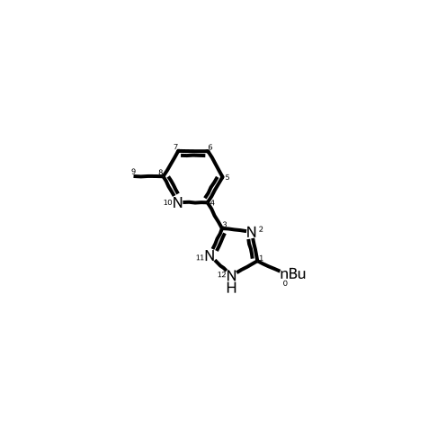 CCCCc1nc(-c2cccc(C)n2)n[nH]1